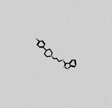 Fc1ccc(C2CCN(CCCOc3nsc4ccccc34)CC2)cc1